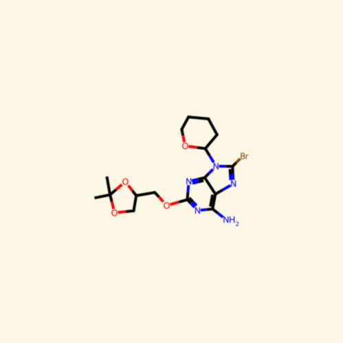 CC1(C)OCC(COc2nc(N)c3nc(Br)n(C4CCCCO4)c3n2)O1